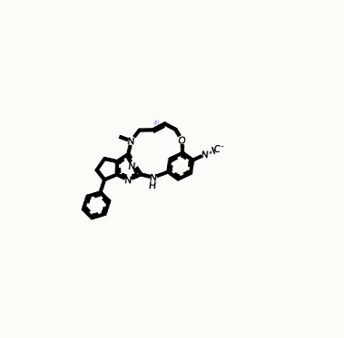 [C-]#[N+]c1ccc2cc1OC/C=C/CN(C)c1nc(nc3c1CCC3c1ccccc1)N2